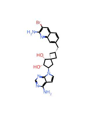 Nc1nc2cc(C[C@H]3C[C@@]4(C[C@@H](n5ccc6c(N)ncnc65)[C@H](O)[C@@H]4O)C3)ccc2cc1Br